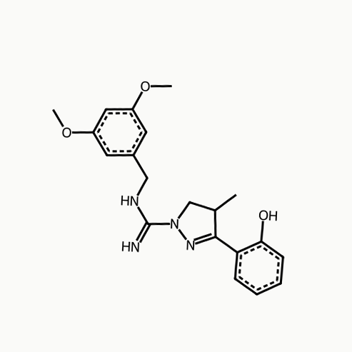 COc1cc(CNC(=N)N2CC(C)C(c3ccccc3O)=N2)cc(OC)c1